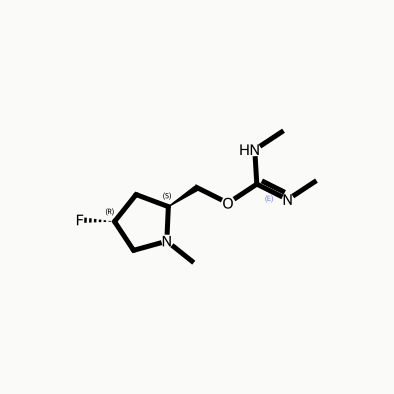 C/N=C(\NC)OC[C@@H]1C[C@@H](F)CN1C